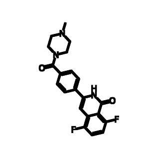 CN1CCN(C(=O)c2ccc(-c3cc4c(F)ccc(F)c4c(=O)[nH]3)cc2)CC1